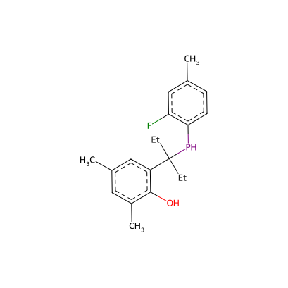 CCC(CC)(Pc1ccc(C)cc1F)c1cc(C)cc(C)c1O